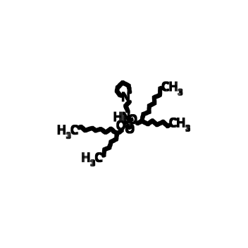 CCCCCCCCC(CCCCCC)COP(=O)(NCCCN1CCCCCC1)OCC(CCCCCC)CCCCCCCC